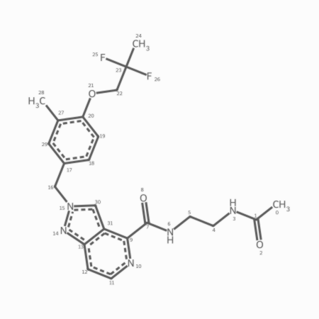 CC(=O)NCCNC(=O)c1nccc2nn(Cc3ccc(OCC(C)(F)F)c(C)c3)cc12